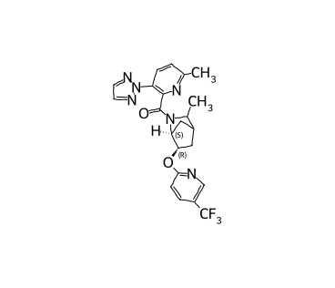 Cc1ccc(-n2nccn2)c(C(=O)N2C(C)C3C[C@@H](Oc4ccc(C(F)(F)F)cn4)[C@@H]2C3)n1